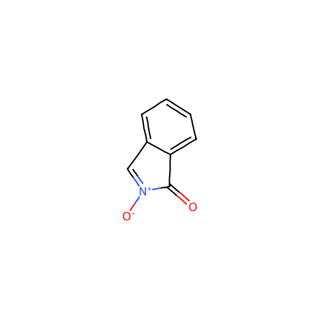 O=C1c2ccccc2C=[N+]1[O-]